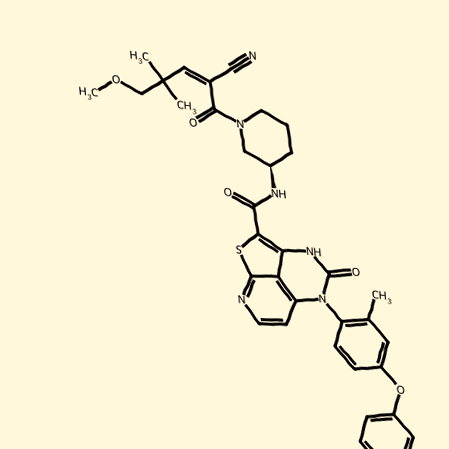 COCC(C)(C)/C=C(/C#N)C(=O)N1CCC[C@@H](NC(=O)c2sc3nccc4c3c2NC(=O)N4c2ccc(Oc3ccccc3)cc2C)C1